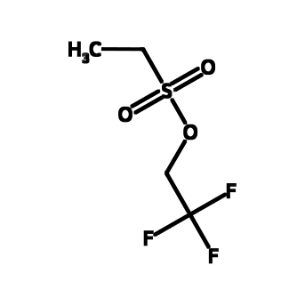 CCS(=O)(=O)OCC(F)(F)F